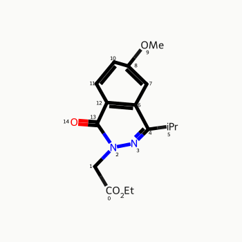 CCOC(=O)Cn1nc(C(C)C)c2cc(OC)ccc2c1=O